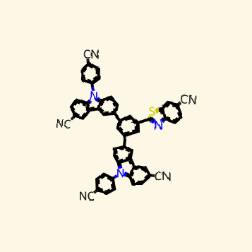 N#Cc1ccc(-n2c3ccc(C#N)cc3c3cc(-c4cc(-c5ccc6c(c5)c5cc(C#N)ccc5n6-c5ccc(C#N)cc5)cc(-c5nc6ccc(C#N)cc6s5)c4)ccc32)cc1